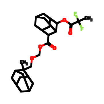 CC(F)(F)C(=O)OC1C2CC3CC(C2)C(C(=O)OCOCC2(C)C4CC5CC(C4)CC2C5)C1C3